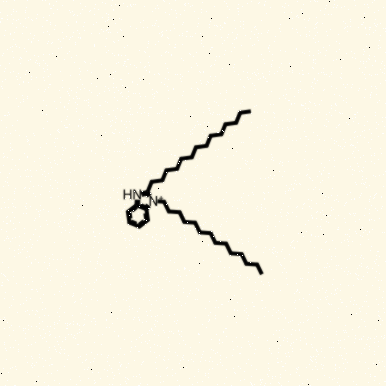 CCCCCCCCCCCCCCc1[nH]c2ccccc2[n+]1CCCCCCCCCCCCCC